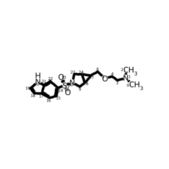 CN(C)CCOCC1C2CN(S(=O)(=O)c3ccc4cc[nH]c4c3)CC12